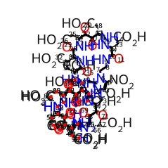 Cc1ncc([N+](=O)[O-])n1CCNC(=O)[C@H](CC(=O)O)NN[C@@H](CC(=O)O)C(=O)C(=O)[C@H](CC(=O)O)NC(=O)[C@H](CC(=O)O)NC(=O)[C@H](CC(=O)O)NN[C@@H](CC(=O)O)C(=O)C(=O)[C@H](CC(=O)O)NN[C@@H](CC(=O)O)C(=O)C(=O)[C@H](CC(=O)O)NN[C@@H](CC(=O)O)C(=O)C(=O)[C@H](CC(=O)O)NN[C@@H](CC(=O)O)C(=O)C(=O)[C@H](CC(=O)O)NN[C@@H](CC(=O)O)C(=O)C(=O)[C@@H](N)CC(=O)O